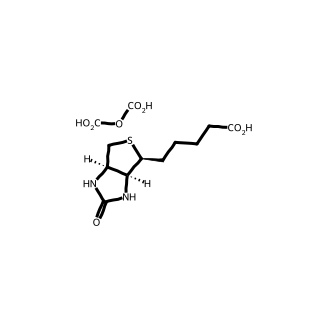 O=C(O)CCCC[C@@H]1SC[C@@H]2NC(=O)N[C@@H]21.O=C(O)OC(=O)O